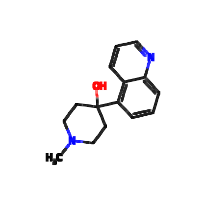 CN1CCC(O)(c2cccc3ncccc23)CC1